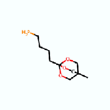 CC12COC(CCCCP)(OC1)OC2